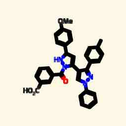 COc1ccc(C2C=C(c3cn(-c4ccccc4)nc3-c3ccc(C)cc3)N(C(=O)c3cccc(C(=O)O)c3)N2)cc1